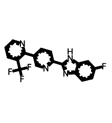 Fc1ccc2nc(-c3ccc(-c4ncccc4C(F)(F)F)cn3)[nH]c2c1